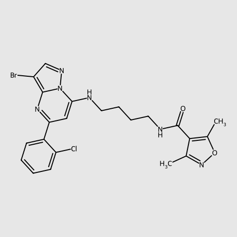 Cc1noc(C)c1C(=O)NCCCCNc1cc(-c2ccccc2Cl)nc2c(Br)cnn12